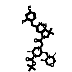 C[C@@H]1CN(CC(=O)N2CC(C)(C)c3nnc(Cc4ccc(F)cc4F)cc32)[C@@H](CN2[C@H](C)COC[C@H]2C)CN1C(=O)OC(C)(C)C